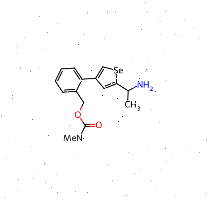 CNC(=O)OCc1ccccc1-c1c[se]c(C(C)N)c1